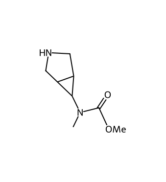 COC(=O)N(C)C1C2CNCC21